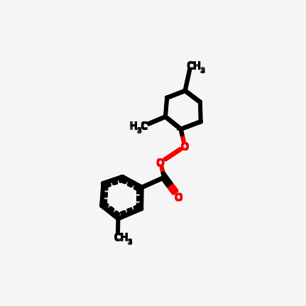 Cc1cccc(C(=O)OO[C]2CCC(C)CC2C)c1